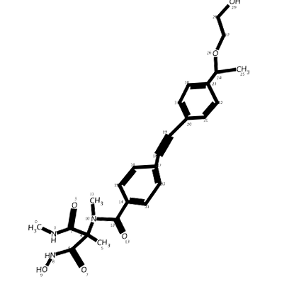 CNC(=O)C(C)(C(=O)NO)N(C)C(=O)c1ccc(C#Cc2ccc(C(C)OCCO)cc2)cc1